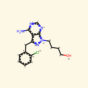 Nc1ncnc2c1c(Cc1ccccc1Cl)nn2CCCCO